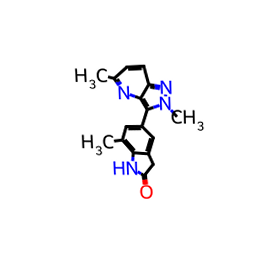 Cc1ccc2nn(C)c(-c3cc(C)c4c(c3)CC(=O)N4)c2n1